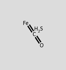 O=[C]=[Fe].S